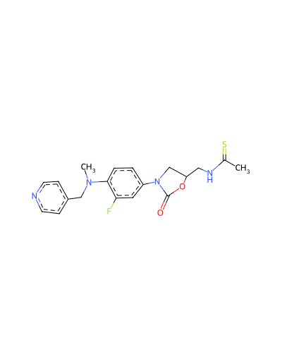 CC(=S)NCC1CN(c2ccc(N(C)Cc3ccncc3)c(F)c2)C(=O)O1